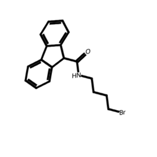 O=C(NCCCCBr)C1c2ccccc2-c2ccccc21